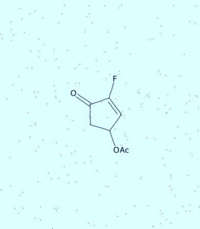 CC(=O)OC1C=C(F)C(=O)C1